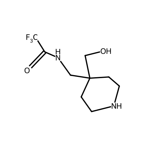 O=C(NCC1(CO)CCNCC1)C(F)(F)F